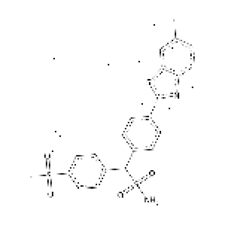 Cc1ccc2nc(-c3ccc(C(c4ccc(S(C)(=O)=O)cc4)S(N)(=O)=O)cc3)sc2c1